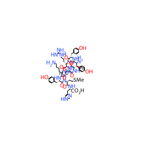 CSCC[C@H](NC(=O)[C@H](Cc1ccc(O)cc1)NC(=O)[C@H](CCCCN)NC(=O)[C@H](CS)NC(=O)[C@H](Cc1ccc(O)cc1)NC(=O)[C@H](C)NC(=O)[C@H](CCCNC(=N)N)NC(=O)[C@H](Cc1ccc(O)cc1)NC(=O)[C@@H](N)CC(C)C)C(=O)N[C@@H](Cc1c[nH]cn1)C(=O)O